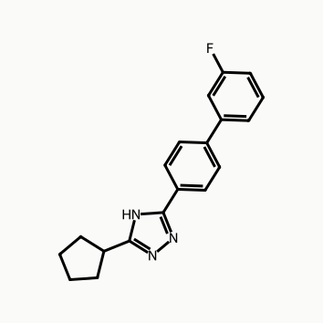 Fc1cccc(-c2ccc(-c3nnc(C4CCCC4)[nH]3)cc2)c1